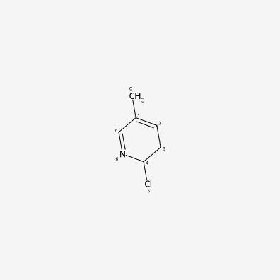 CC1=CCC(Cl)N=C1